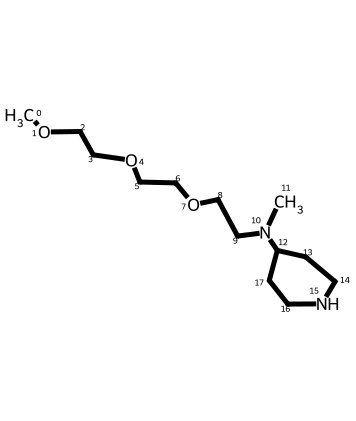 COCCOCCOCCN(C)C1CCNCC1